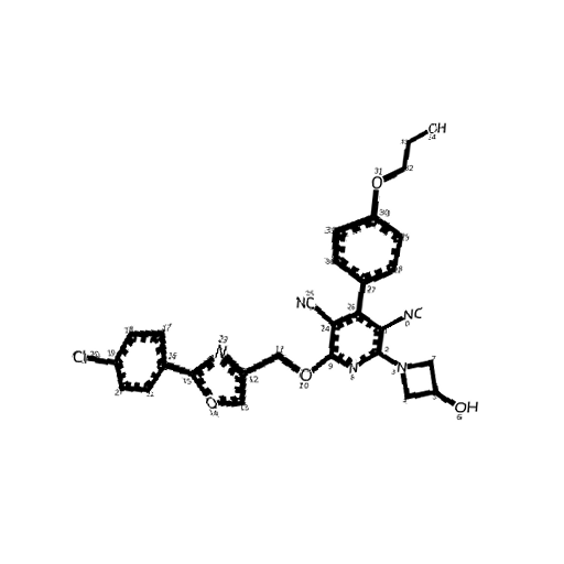 [C-]#[N+]c1c(N2CC(O)C2)nc(OCc2coc(-c3ccc(Cl)cc3)n2)c(C#N)c1-c1ccc(OCCO)cc1